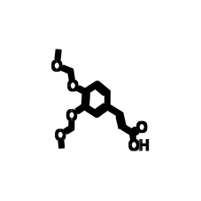 COCOc1ccc(C=CC(=O)O)cc1OCOC